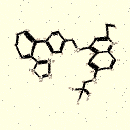 CCc1cc(OCc2ccc(-c3ccccc3-c3nnn[nH]3)cc2)c2cc(OCC(F)(F)F)ccc2n1